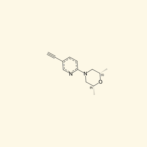 C#Cc1ccc(N2C[C@@H](C)O[C@@H](C)C2)nc1